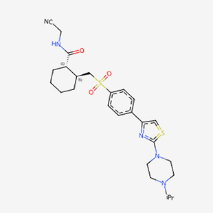 CC(C)N1CCN(c2nc(-c3ccc(S(=O)(=O)C[C@H]4CCCC[C@@H]4C(=O)NCC#N)cc3)cs2)CC1